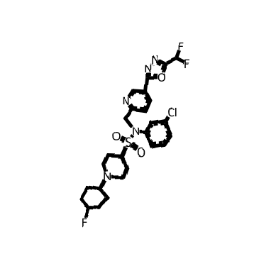 O=S(=O)(C1CCN(C2CCC(F)CC2)CC1)N(Cc1ccc(-c2nnc(C(F)F)o2)cn1)c1cccc(Cl)c1